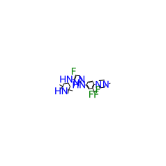 CN1CCN(c2ccc(Nc3ncc(F)c(NC4CC(C)(C)NC(C)(C)C4)n3)cc2C(F)(F)F)CC1